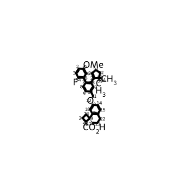 COc1ccc(F)c(-c2ccc(COc3ccc4c(c3)[C@]3(CCC4)CC[C@H]3C(=O)O)cc2C2=CCCC2(C)C)c1